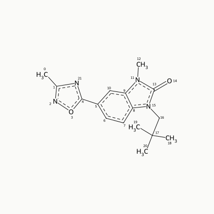 Cc1noc(-c2ccc3c(c2)n(C)c(=O)n3CC(C)(C)C)n1